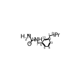 CC(C)Cc1cccc(CNC(N)=O)c1